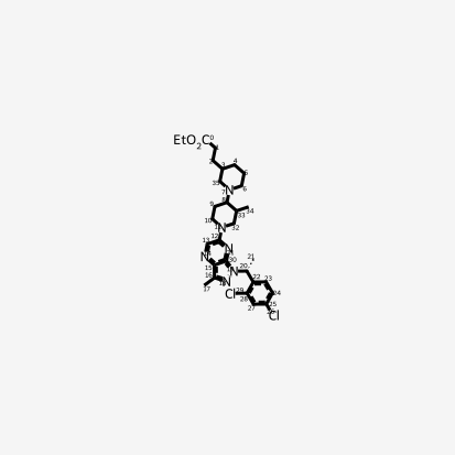 CCOC(=O)CCC1CCCN(C2CCN(c3cnc4c(C)nn([C@H](C)c5ccc(Cl)cc5Cl)c4n3)CC2C)C1